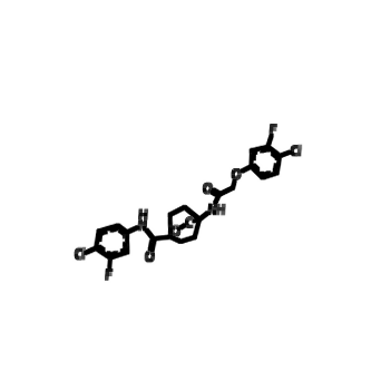 O=C(COc1ccc(Cl)c(F)c1)NC12CCC(C(=O)Nc3ccc(Cl)c(F)c3)(CC1)OC2